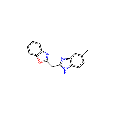 Cc1ccc2[nH]c(Cc3nc4ccccc4o3)nc2c1